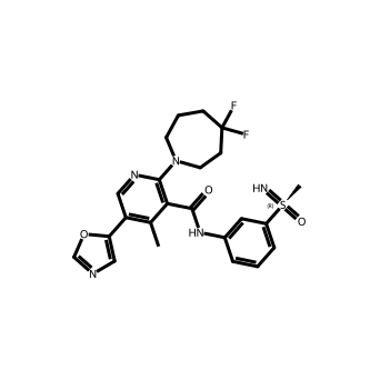 Cc1c(-c2cnco2)cnc(N2CCCC(F)(F)CC2)c1C(=O)Nc1cccc([S@](C)(=N)=O)c1